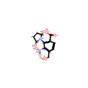 O=C(O)c1ccc(CO)c([N+](=O)[O-])c1N1C(=O)CCC1=O